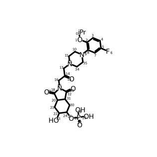 CC(C)Oc1ccc(F)cc1N1CCN(CC(=O)CN2C(=O)C3CC(O)C(OP(=O)(O)O)CC3C2=O)CC1